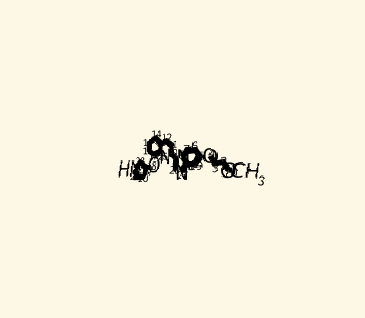 COCCOc1ccn2c(-c3ccc4cccc(O[C@@H]5CCNC5)c4n3)cnc2c1